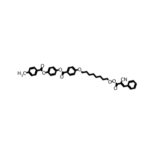 Cc1ccc(C(=O)Oc2ccc(OC(=O)c3ccc(OCCCCCCCCOOC(=O)/C(C#N)=C/c4ccccc4)cc3)cc2)cc1